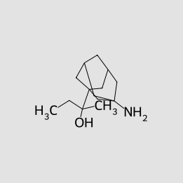 CCC(C)(O)C12CC3CC(CC(N)(C3)C1)C2